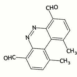 Cc1ccc(C=O)c2nnc3c(C=O)ccc(C)c3c12